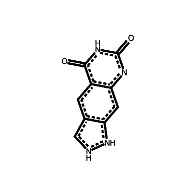 O=c1nc2cc3[nH][nH]cc3cc2c(=O)[nH]1